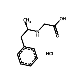 C[C@H](Cc1ccccc1)NCC(=O)O.Cl